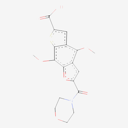 COc1c2cc(C(=O)N3CCOCC3)oc2c(OC)c2sc(C(=O)O)cc12